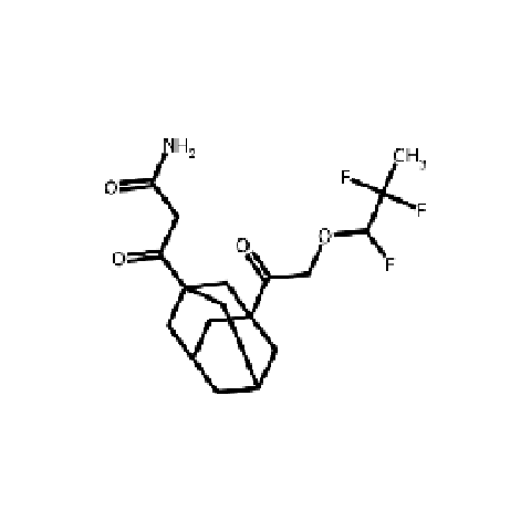 CC(F)(F)C(F)OCC(=O)C12CC3CC(C1)CC(C(=O)CC(N)=O)(C3)C2